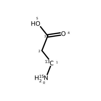 [15NH2][13CH2]CC(=O)O